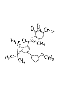 COc1cccc(-c2cc(C(=O)NCc3c(C)cc(C)[nH]c3=O)c3c(C)cn(C(C)C)c3c2)c1